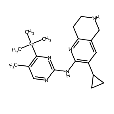 [CH3][Sn]([CH3])([CH3])[c]1nc(Nc2nc3c(cc2C2CC2)CNCC3)ncc1C(F)(F)F